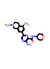 Cc1cc(-c2cnc(N)c(C(=O)NC3CCOCC3)n2)cc2c1CCN(C)C2